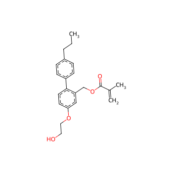 C=C(C)C(=O)OCc1cc(OCCO)ccc1-c1ccc(CCC)cc1